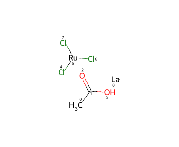 CC(=O)O.[Cl][Ru]([Cl])[Cl].[La]